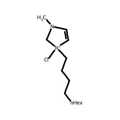 CCCCCCCCCC[N+]1(Cl)C=CN(C)C1